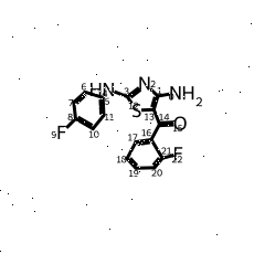 Nc1nc(Nc2ccc(F)cc2)sc1C(=O)c1ccccc1F